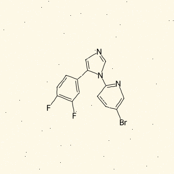 Fc1ccc(-c2cncn2-c2ccc(Br)cn2)cc1F